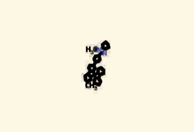 Cc1ccc2c(c1)C1(c3ccccc3-c3ccccc31)c1cc(-c3ccc(-c4nc5ccccc5n4C)cc3)ccc1-2